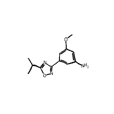 COc1cc(N)cc(-c2noc(C(C)C)n2)c1